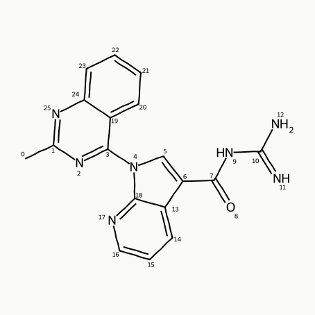 Cc1nc(-n2cc(C(=O)NC(=N)N)c3cccnc32)c2ccccc2n1